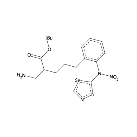 CC(C)(C)OC(=O)C(CN)CCCc1ccccc1N(c1nnc[se]1)[N+](=O)[O-]